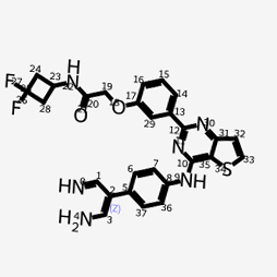 N=C/C(=C\N)c1ccc(Nc2nc(-c3cccc(OCC(=O)NC4CC(F)(F)C4)c3)nc3ccsc23)cc1